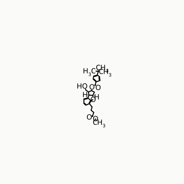 COC(=O)CCCc1cccc2c1O[C@@H]1CC(OC(=O)c3ccc(C(C)(C)C)cc3)C(CO)[C@H]21